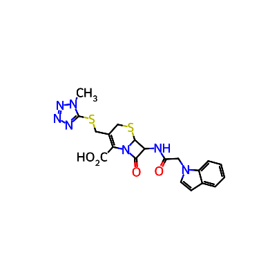 Cn1nnnc1SCC1=C(C(=O)O)N2C(=O)C(NC(=O)Cn3ccc4ccccc43)C2SC1